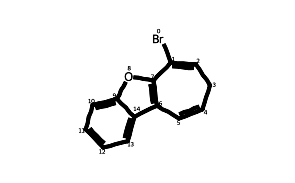 BrC1=CCC=Cc2c1oc1ccccc21